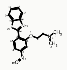 CN(C)CCOc1cc(N=O)ccc1-c1nc2ccccc2s1